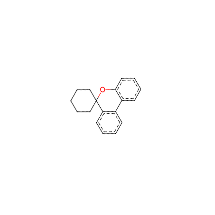 c1ccc2c(c1)OC1(CCCCC1)c1ccccc1-2